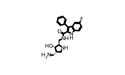 NC[C@H]1CN[C@H](CNC(=O)c2[nH]c3ccc(F)cc3c2-c2ccccc2)[C@H]1O